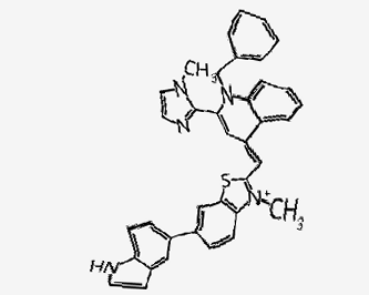 Cn1ccnc1C1=CC(=Cc2sc3cc(-c4ccc5[nH]ccc5c4)ccc3[n+]2C)c2ccccc2N1Cc1ccccc1